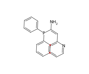 N/C(=C/c1ccccn1)P(c1ccccc1)c1ccccc1